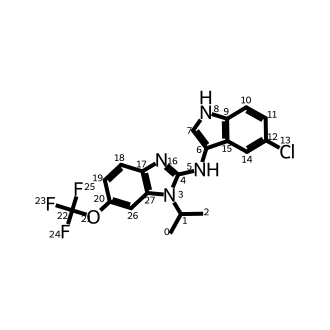 CC(C)n1c(Nc2c[nH]c3ccc(Cl)cc23)nc2ccc(OC(F)(F)F)cc21